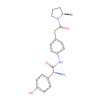 CC(=O)[C@@H]1CCCN1C(=O)Cc1ccc(NC(=O)[C@@H](N)c2ccc(O)cc2)cc1